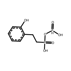 O=[PH](O)OP(=O)(O)CCc1ccccc1O